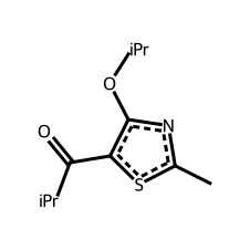 Cc1nc(OC(C)C)c(C(=O)C(C)C)s1